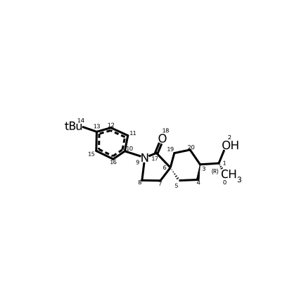 C[C@@H](O)[C@H]1CC[C@@]2(CCN(c3ccc(C(C)(C)C)cc3)C2=O)CC1